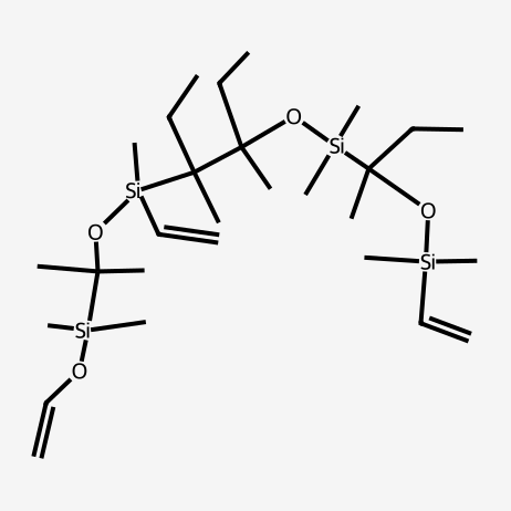 C=CO[Si](C)(C)C(C)(C)O[Si](C)(C=C)C(C)(CC)C(C)(CC)O[Si](C)(C)C(C)(CC)O[Si](C)(C)C=C